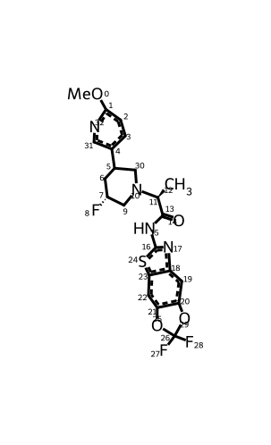 COc1ccc(C2C[C@@H](F)CN([C@@H](C)C(=O)Nc3nc4cc5c(cc4s3)OC(F)(F)O5)C2)cn1